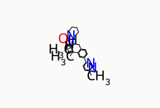 Cc1ccc(-c2ccc3c(c2)[C@]2(C)CCN(C(=O)N4CCCCC4)[C@H](C3)[C@H]2C)nn1